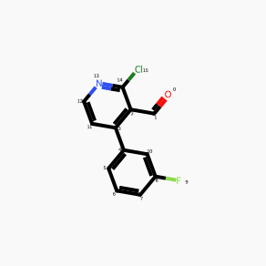 O=Cc1c(-c2cccc(F)c2)ccnc1Cl